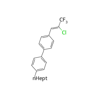 CCCCCCCc1ccc(-c2ccc(C=C(Cl)C(F)(F)F)cc2)cc1